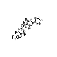 FC1CC(OC(F)(F)C2C(F)CC(C3CCCCC3)CC2F)CC(F)C1OC(F)(F)F